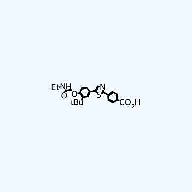 CCNC(=O)COc1ccc(-c2cnc(-c3ccc(C(=O)O)cc3)s2)cc1C(C)(C)C